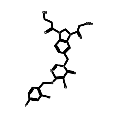 CNCC(=O)N1CN(C(=O)CCO)c2ccc(Cn3cnc(OCc4ccc(F)cc4F)c(Cl)c3=O)cc21